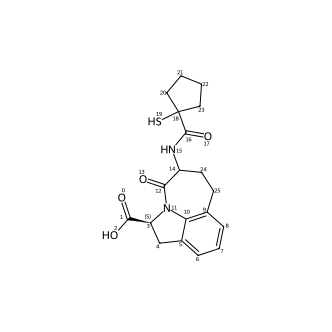 O=C(O)[C@@H]1Cc2cccc3c2N1C(=O)C(NC(=O)C1(S)CCCC1)CC3